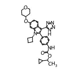 CC(OC(=O)Nc1ccc(-c2c(-c3nnn[nH]3)c3ccc(OC4CCOCC4)cc3n2C2CCC2)cc1)C1CC1